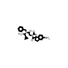 CC(C1CC1)N(Cc1ccccc1)C(=O)CN1C(=O)OC2(CCc3cc(N)ccc32)C1=O